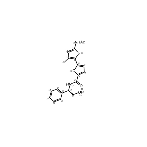 CC(=O)Nc1nc(C)c(-c2ccc(C(=O)N[C@@H](CO)c3ccccc3)o2)s1